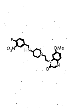 COc1ccc2ncc(=O)n(CCN3CCC(NCc4ccc(F)c([N+](=O)[O-])c4)CC3)c2c1